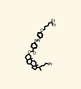 CCN(CC)CCCCOc1ccc(N=Nc2ccc(C(=O)OC3CCC4=CCC5C(CCC6(C)C(C(C)CCCC(C)C)CCC56)C4(C)C3)cc2)cc1